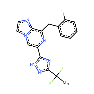 Fc1ccccc1Cc1nc(-c2nc(C(F)(F)C(F)(F)F)n[nH]2)cn2ccnc12